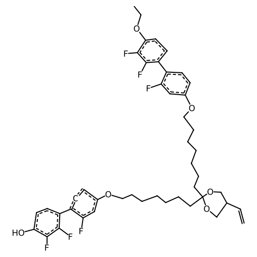 C=CC1COC(CCCCCCCOc2ccc(-c3ccc(O)c(F)c3F)c(F)c2)(CCCCCCCOc2ccc(-c3ccc(OCC)c(F)c3F)c(F)c2)OC1